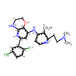 CN(C)CCc1nccc(Nc2cc(-c3cc(Cl)ccc3F)nc3c2OCCN3)c1C(=O)O